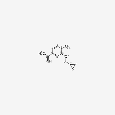 CC(=N)c1ccc(C(F)(F)F)c(OCC2CC2)c1